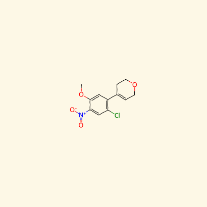 COc1cc(C2=CCOCC2)c(Cl)cc1[N+](=O)[O-]